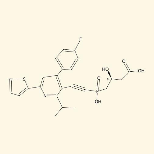 CC(C)c1nc(-c2cccs2)cc(-c2ccc(F)cc2)c1C#CP(=O)(O)C[C@@H](O)CC(=O)O